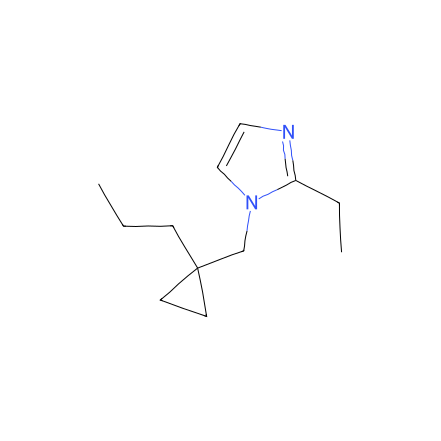 CCCC1(Cn2ccnc2CC)CC1